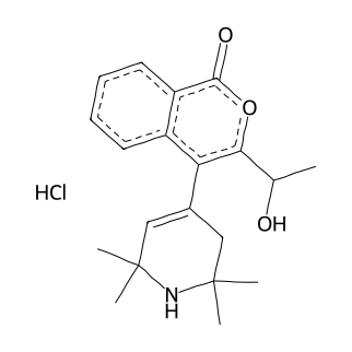 CC(O)c1oc(=O)c2ccccc2c1C1=CC(C)(C)NC(C)(C)C1.Cl